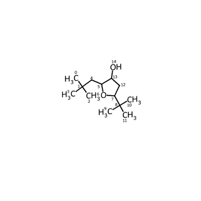 CC(C)(C)CC1OC(C(C)(C)C)CC1O